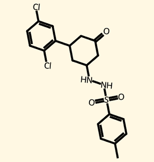 Cc1ccc(S(=O)(=O)NNC2CC(=O)CC(c3cc(Cl)ccc3Cl)C2)cc1